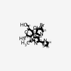 CO[C@@H]1[C@H](S)O[C@@H](CO)[C@@H](O)[C@@]1(c1cncc(Br)c1)n1cc(-c2nccs2)nn1